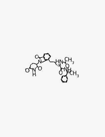 CC(=O)N[C@@H](CCCc1cccc2c1CN(C1CCC(=O)NC1=O)C2=O)C(=O)N[C@H](C)c1ccccc1